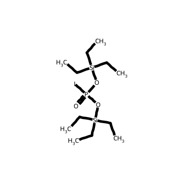 CC[Si](CC)(CC)OP(=O)(I)O[Si](CC)(CC)CC